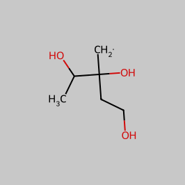 [CH2]C(O)(CCO)C(C)O